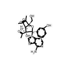 CC(=O)[C@@]1(O)[C@@](O)(C(C)=O)[C@](CO)(C(C)=O)O[C@@]1(c1cccc(O)c1)n1cnc2c(N)ncnc21